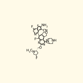 CN1C[C@H](F)C[C@H]1COc1nc(N2C3CCC2CNC3)c2c3c(c(-c4ncc(F)c5sc(N)c(C#N)c45)c(F)c2n1)COC3